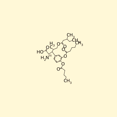 CCCCC(=O)Oc1ccc(C(C(C)COC(=O)CC(C)CC)[C@H](N)C(=O)O)cc1OC(=O)CCCC